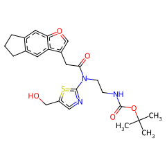 CC(C)(C)OC(=O)NCCN(C(=O)Cc1coc2cc3c(cc12)CCC3)c1ncc(CO)s1